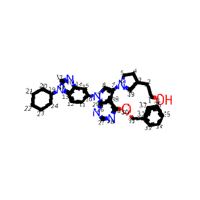 OCCC1CCN(c2cn(-c3ccc4c(c3)ncn4C3CCCCC3)c3ncnc(OCc4ccccc4)c23)C1